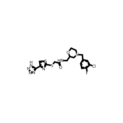 O=C(CSc1nc(-c2nnn[nH]2)cs1)NCC1CN(Cc2ccc(F)c(Cl)c2)CCO1